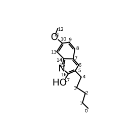 CCCCCc1cc2ccc(OC)cc2nc1O